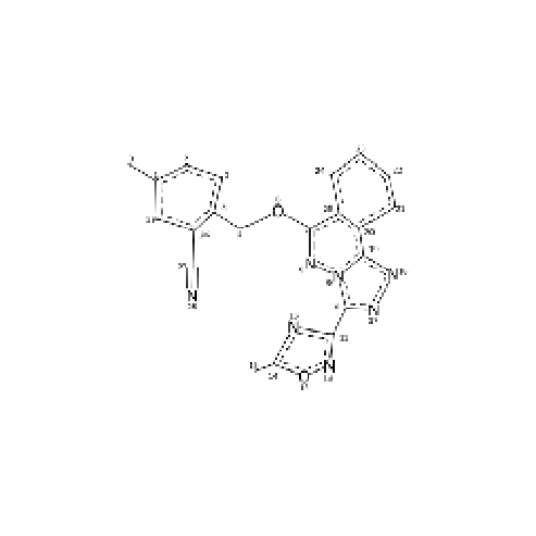 Cc1ccc(COc2nn3c(-c4noc(C)n4)nnc3c3ccccc23)c(C#N)c1